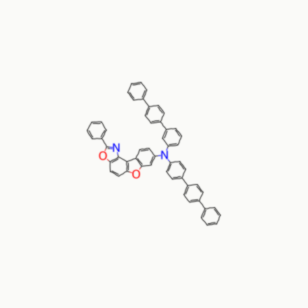 c1ccc(-c2ccc(-c3ccc(N(c4cccc(-c5ccc(-c6ccccc6)cc5)c4)c4ccc5c(c4)oc4ccc6oc(-c7ccccc7)nc6c45)cc3)cc2)cc1